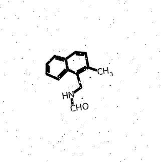 Cc1ccc2ccccc2c1CNC=O